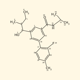 CCC(C)C(O)c1cc(C(=O)NC(C)C)cc(-c2ccc(C)cc2F)c1